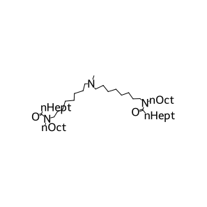 CCCCCCCCN(CCCCCCCCN(C)CCCCCCCCN(CCCCCCCC)C(=O)CCCCCCC)C(=O)CCCCCCC